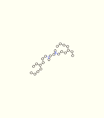 c1ccc(-c2cccc(-c3ccc(-c4cccc(-c5cc(-c6cccc(-c7ccccc7)c6)cc(-c6cccc(-c7cccc(-c8cccc(-n9c%10ccccc%10c%10cc(-c%11ccc%12c(c%11)c%11ccccc%11n%12-c%11cccc(-c%12cccc(-c%13cccc(-c%14cc(-c%15cccc(-c%16ccccc%16)c%15)cc(-c%15cccc(-c%16ccc(-c%17cccc(-c%18ccccc%18)c%17)cc%16)c%15)c%14)c%13)c%12)c%11)ccc%109)c8)c7)c6)c5)c4)cc3)c2)cc1